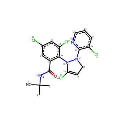 CC(C)(C#N)NC(=O)c1cc(Cl)cc(Cl)c1N1C(Cl)=CCN1c1ncccc1Cl